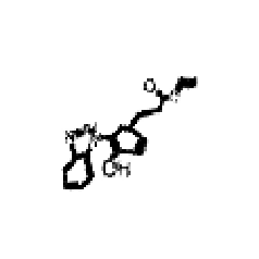 C=COC(=O)CCc1ccc(O)c(-n2nnc3ccccc32)c1